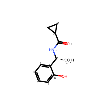 O=C(N[C@H](C(=O)O)c1ccccc1O)C1CC1